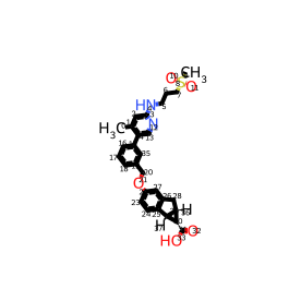 Cc1cc(NCCCS(C)(=O)=O)ncc1-c1cccc(COc2ccc3c(c2)C[C@H]2[C@H](C(=O)O)[C@@H]32)c1